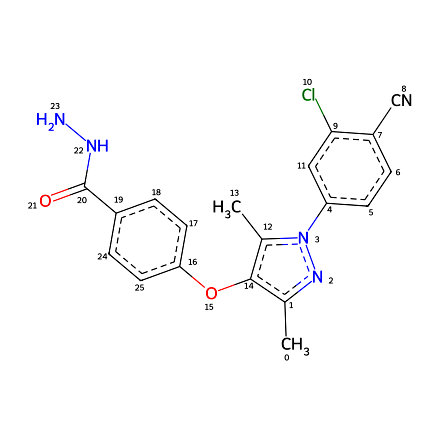 Cc1nn(-c2ccc(C#N)c(Cl)c2)c(C)c1Oc1ccc(C(=O)NN)cc1